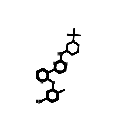 Cc1ccc(N)cc1Oc1ncccc1-c1ccnc(NC2CCCN(C(C)(C)C)C2)n1